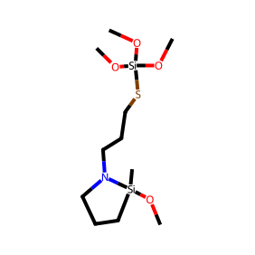 CO[Si](OC)(OC)SCCCN1CCC[Si]1(C)OC